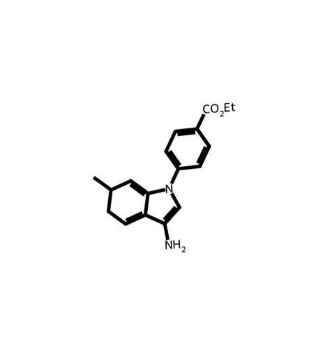 CCOC(=O)c1ccc(-n2cc(N)c3c2=CC(C)CC=3)cc1